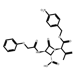 C=C(C)[C@H](C(=O)OCc1ccc([N+](=O)[O-])cc1)N1C(=O)[C@H](NC(=O)COc2ccccc2)[C@H]1S(=O)O